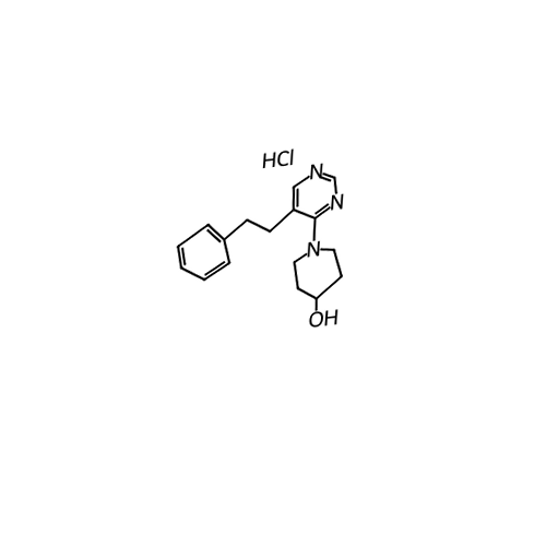 Cl.OC1CCN(c2ncncc2CCc2ccccc2)CC1